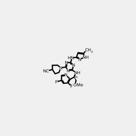 COC[C@H](Nc1nc(Nc2cc(C)[nH]n2)nc(N2CCC(C#N)CC2)n1)c1ncc(F)cc1F